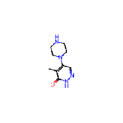 Cc1c(N2CCNCC2)cn[nH]c1=O